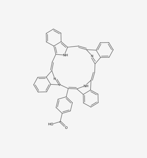 O=C(O)c1ccc(-c2c3nc(cc4[nH]c(cc5nc(cc6[nH]c2c2ccccc62)-c2ccccc2-5)c2ccccc42)-c2ccccc2-3)cc1